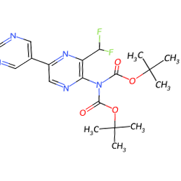 CC(C)(C)OC(=O)N(C(=O)OC(C)(C)C)c1ncc(-c2cncnc2)nc1C(F)F